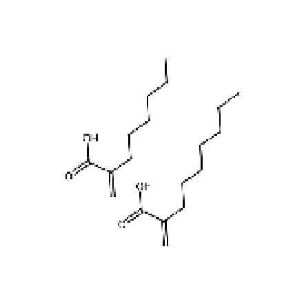 C=C(CCCCCC)C(=O)O.C=C(CCCCCCC)C(=O)O